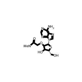 CNC(=O)COC1C(O)[C@@H](CO)S[C@H]1n1cnc2c(N)ncnc21